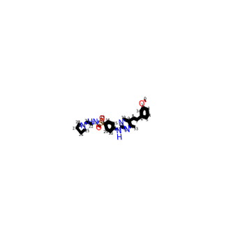 COc1cccc(C=Cc2cnc(Nc3ccc(S(=O)(=O)NCCN4CCCC4)cc3)nc2C)c1